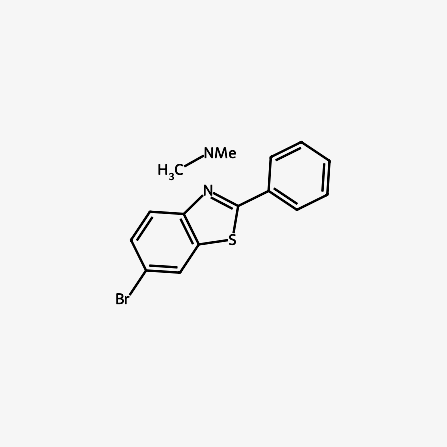 Brc1ccc2nc(-c3ccccc3)sc2c1.CNC